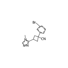 Cn1cnnc1C1CC(C#N)(c2cccc(Br)c2)C1